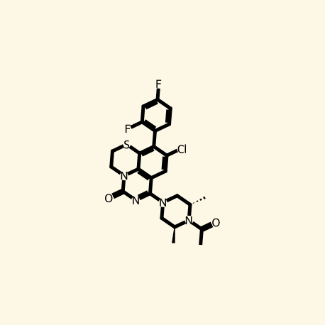 CC(=O)N1[C@@H](C)CN(c2nc(=O)n3c4c(c(-c5ccc(F)cc5F)c(Cl)cc24)SCC3)C[C@@H]1C